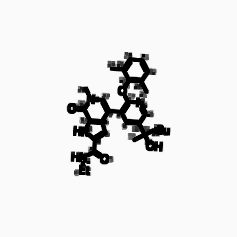 CCNC(=O)c1cc2c(-c3cc(C(C)(O)C(C)CC)cnc3Oc3c(C)cccc3C)cn(C)c(=O)c2[nH]1